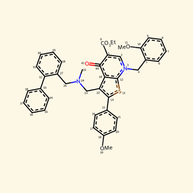 CCOC(=O)c1cn(Cc2ccccc2OC)c2sc(-c3ccc(OC)cc3)c(CN(C)Cc3ccccc3-c3ccccc3)c2c1=O